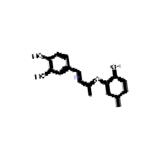 C=C(/C=C/c1ccc(O)c(O)c1)OC1CC(C)CCC1O